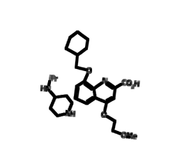 CC(C)NC1CCNCC1.COCCOc1cc(C(=O)O)nc2c(OCC3CCCCC3)cccc12